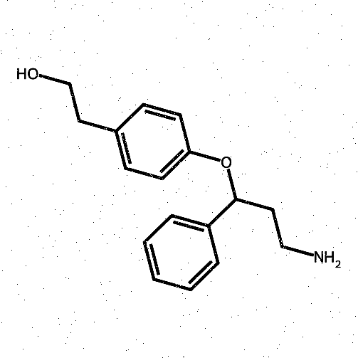 NCCC(Oc1ccc(CCO)cc1)c1ccccc1